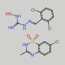 CC1=Nc2ccc(Cl)cc2S(=O)(=O)N1.N=C(NO)N/N=C/c1c(Cl)cccc1Cl